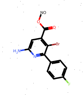 Nc1cc(C(=O)ON=O)c(Br)c(-c2ccc(F)cc2)n1